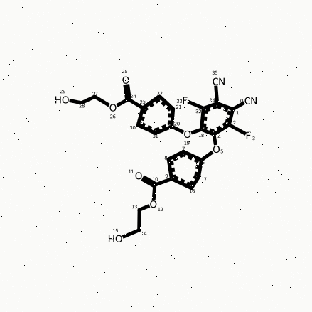 N#Cc1c(F)c(Oc2ccc(C(=O)OCCO)cc2)c(Oc2ccc(C(=O)OCCO)cc2)c(F)c1C#N